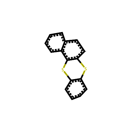 [c]1cc2ccccc2c2c1Sc1ccccc1S2